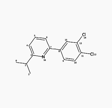 CC(C)c1cccc(-c2ccc(Cl)c(Cl)c2)n1